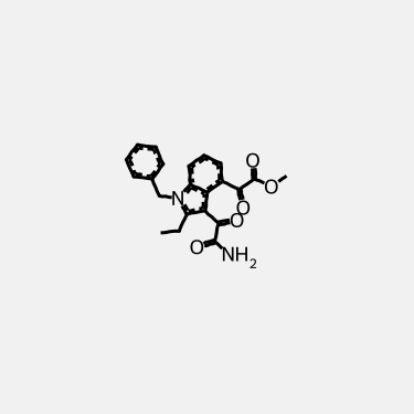 CCc1c(C(=O)C(N)=O)c2c(C(=O)C(=O)OC)cccc2n1Cc1ccccc1